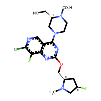 CN1C[C@H](F)C[C@H]1COc1nc(N2CCN(C(=O)O)[C@@H](CC#N)C2)c2cnc(Cl)c(F)c2n1